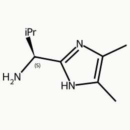 Cc1nc([C@@H](N)C(C)C)[nH]c1C